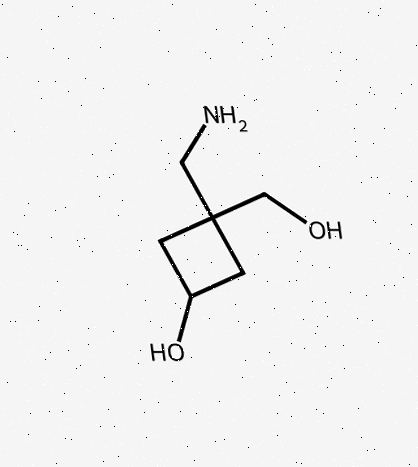 NCC1(CO)CC(O)C1